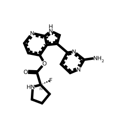 Nc1nccc(-c2c[nH]c3nccc(OC(=O)[C@@]4(F)CCCN4)c23)n1